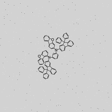 c1ccc(C2(c3ccccc3)c3ccccc3-c3cc(N(c4cccc(N(c5ccc6c(c5)C(c5ccccc5)(c5ccccc5)c5ccccc5-6)c5ccc6c(c5)oc5ccccc56)c4)c4cccc5oc6ccccc6c45)ccc32)cc1